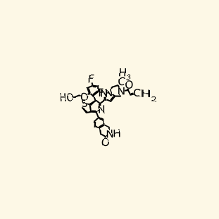 C=CC(=O)N1Cc2cc(-c3nc(-c4ccc5c(c4)CNC(=O)C5)c4ccsc4c3-c3c(F)cc(F)cc3OCCO)nn2CC1C